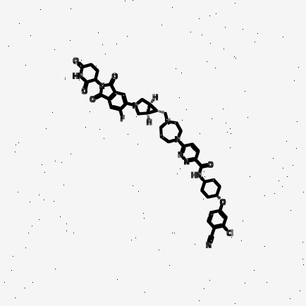 N#Cc1ccc(O[C@H]2CC[C@H](NC(=O)c3ccc(N4CCCN(C[C@@H]5[C@H]6CN(c7cc8c(cc7F)C(=O)N(C7CCC(=O)NC7=O)C8=O)C[C@@H]56)CC4)nn3)CC2)cc1Cl